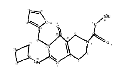 CC(C)(C)OC(=O)N1CCc2nc(NC3CCC3)n(Cc3ccco3)c(=O)c2C1